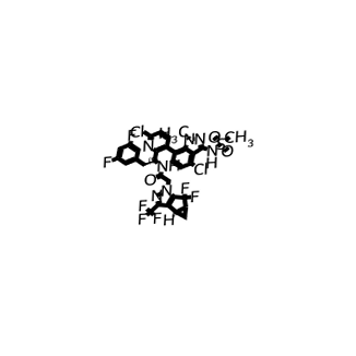 Cn1nc(NS(C)(=O)=O)c2c(Cl)ccc(-c3ccc(Cl)nc3[C@H](Cc3cc(F)cc(F)c3)NC(=O)Cn3nc(C(F)(F)F)c4c3C(F)(F)C3C[C@H]43)c21